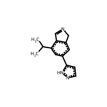 CC(C)c1cc(-c2ccn[nH]2)cc2c1C=NC2